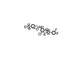 CCS(=O)(=O)c1ccc(CC(=O)Nc2cc(Cl)c(C3(c4noc(-c5ccc(F)c(F)c5)n4)CC3)c(Cl)c2)nc1